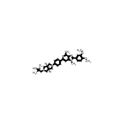 COc1ccc(-c2nc3c(C)nc(-c4ccc(N5C[C@H]6CN(CC(C)(C)O)C[C@H]6C5)cc4)cc3n2C)cc1OC